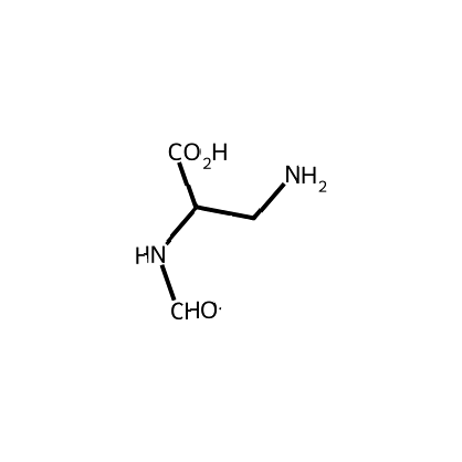 NCC(N[C]=O)C(=O)O